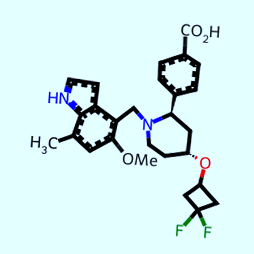 COc1cc(C)c2[nH]ccc2c1CN1CC[C@@H](OC2CC(F)(F)C2)C[C@@H]1c1ccc(C(=O)O)cc1